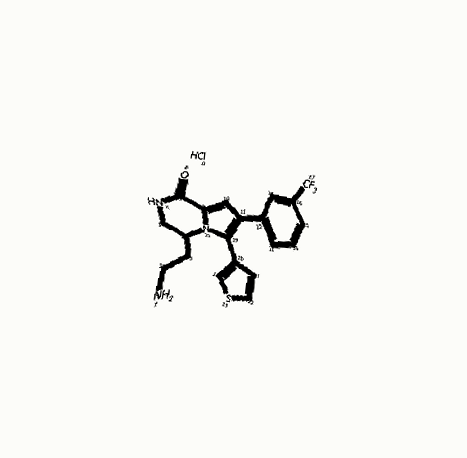 Cl.NCCC1CNC(=O)c2cc(-c3cccc(C(F)(F)F)c3)c(-c3ccsc3)n21